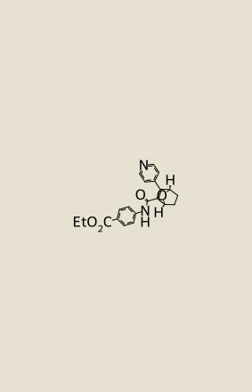 CCOC(=O)c1ccc(NC(=O)C2=C(c3ccncc3)[C@@H]3CC[C@H]2O3)cc1